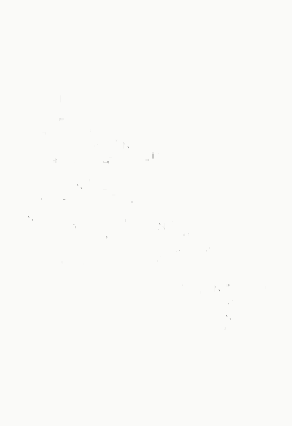 Cc1cncc2c1c(C[C@@H]1CCN(CC3(C)CCN(C(N)=O)CC3)C1)cn2-c1ccc(F)cc1C(=O)N(C)C(C)C